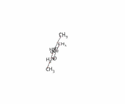 CCCCCCCCCCCCCCCCCC(=O)NCCNC(=O)CCCCCCCCCCCCCCCCC.CCCCCCCCCCCCCCCCCC(N)=O